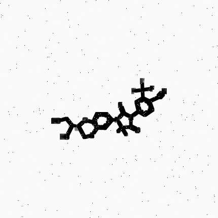 CC1(C)C(=O)N(c2ccc(C#N)c(C(F)(F)F)c2)C(=S)N1c1ccc2c(c1)SC[C@H](C(O)CO)O2